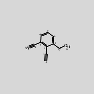 C#Cc1c(C#N)cccc1[CH]O